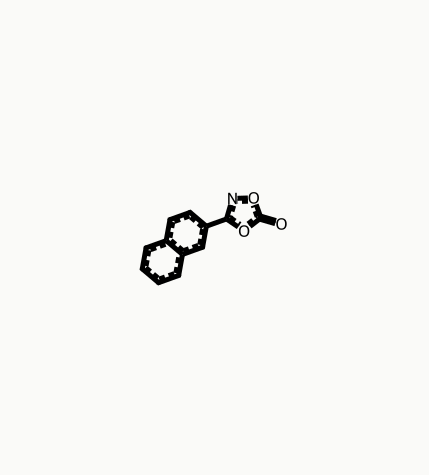 O=c1onc(-c2ccc3ccccc3c2)o1